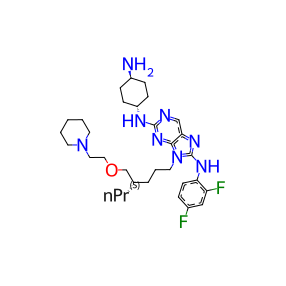 CCC[C@@H](CCCn1c(Nc2ccc(F)cc2F)nc2cnc(N[C@H]3CC[C@H](N)CC3)nc21)COCCN1CCCCC1